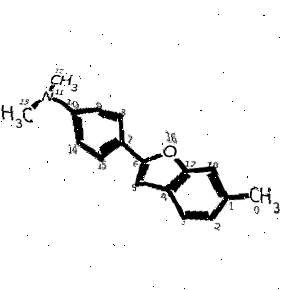 Cc1ccc2cc(-c3ccc(N(C)C)cc3)oc2c1